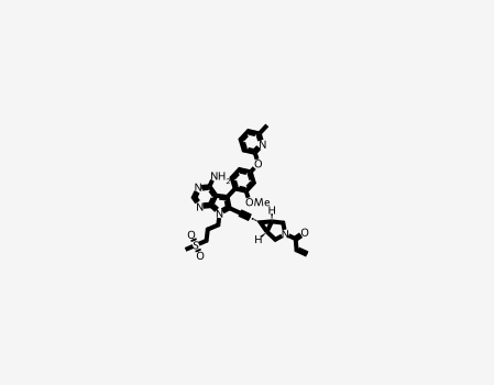 C=CC(=O)N1C[C@@H]2[C@@H](C#Cc3c(-c4ccc(Oc5cccc(C)n5)cc4OC)c4c(N)ncnc4n3CCCS(C)(=O)=O)[C@@H]2C1